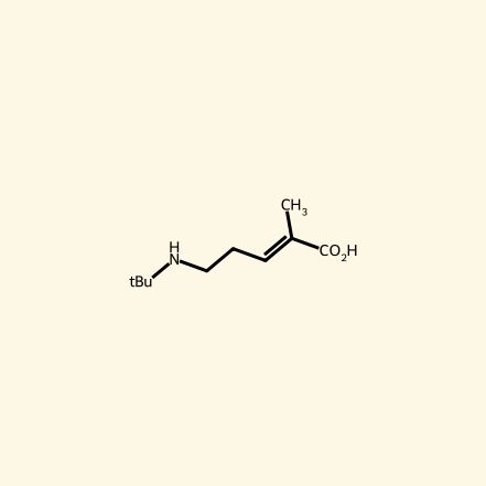 CC(=CCCNC(C)(C)C)C(=O)O